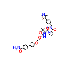 Cc1ncsc1-c1ccc(CNC(=O)[C@@H]2CCCN2C(=O)[C@@H](NC(=O)COCCOc2ccc(-c3ccc(C(N)=O)cc3)cc2)C(C)(C)C)cc1